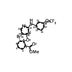 COC(=O)c1ccccc1Oc1nc(Nc2cccc(OC(F)(F)F)c2)ncc1Br